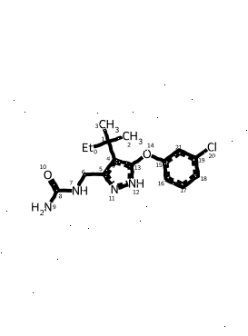 CCC(C)(C)c1c(CNC(N)=O)n[nH]c1Oc1cccc(Cl)c1